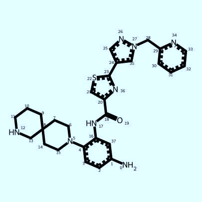 Nc1ccc(N2CCC3(CCCNC3)CC2)c(NC(=O)c2csc(-c3cnn(Cc4ccccn4)c3)n2)c1